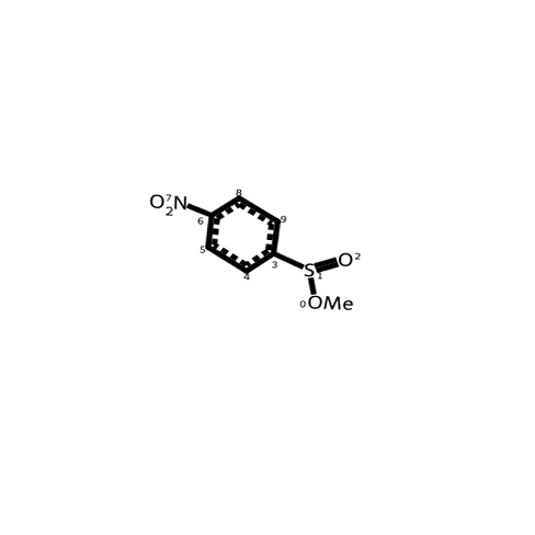 COS(=O)c1ccc([N+](=O)[O-])cc1